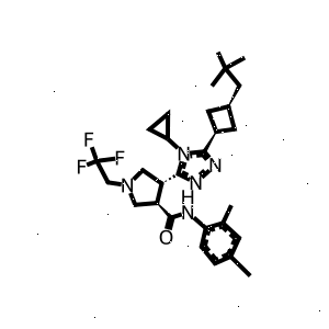 Cc1ccc(NC(=O)[C@H]2CN(CC(F)(F)F)C[C@@H]2c2nnc([C@H]3C[C@@H](CC(C)(C)C)C3)n2C2CC2)c(C)c1